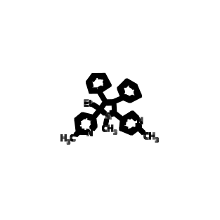 CCC1(c2ccc(C)nc2)C(c2ccccc2)=C(c2ccccc2)C(c2ccc(C)nc2)=[Si]1C